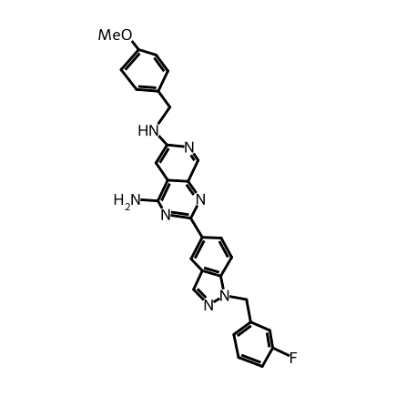 COc1ccc(CNc2cc3c(N)nc(-c4ccc5c(cnn5Cc5cccc(F)c5)c4)nc3cn2)cc1